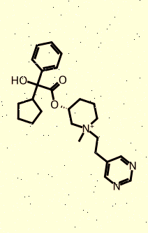 C[N+]1(CCc2cncnc2)CCC[C@@H](OC(=O)C(O)(c2ccccc2)C2CCCC2)C1